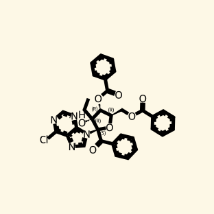 CC[C@@]1(O)[C@H](OC(=O)c2ccccc2)[C@@H](COC(=O)c2ccccc2)O[C@@]1(C(=O)c1ccccc1)n1cnc2c(Cl)ncnc21